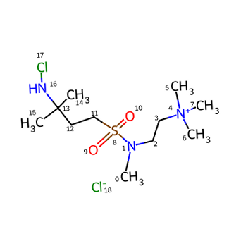 CN(CC[N+](C)(C)C)S(=O)(=O)CCC(C)(C)NCl.[Cl-]